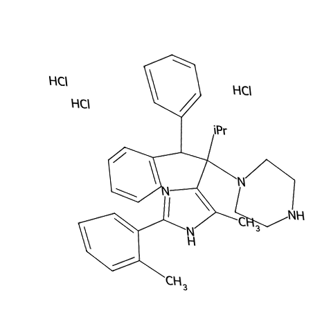 Cc1ccccc1-c1nc(C(C(C)C)(C(c2ccccc2)c2ccccc2)N2CCNCC2)c(C)[nH]1.Cl.Cl.Cl